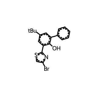 CC(C)(C)c1cc(-c2ccccc2)c(O)c(-c2nc(Br)cs2)c1